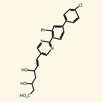 CC(C)c1cc(-c2ccc(Cl)cc2)ccc1-c1ncc(/C=C/C(O)CC(O)CC(=O)O)cn1